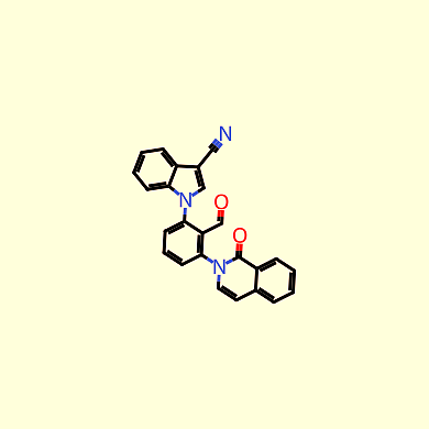 N#Cc1cn(-c2cccc(-n3ccc4ccccc4c3=O)c2C=O)c2ccccc12